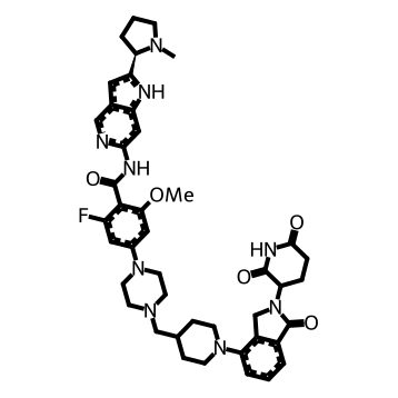 COc1cc(N2CCN(CC3CCN(c4cccc5c4CN(C4CCC(=O)NC4=O)C5=O)CC3)CC2)cc(F)c1C(=O)Nc1cc2[nH]c([C@H]3CCCN3C)cc2cn1